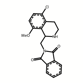 COc1ccc(Cl)c2c1C(CN1C(=O)c3ccccc3C1=O)NCC2